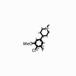 COc1cc(C2CCN(C)CC2)cc(F)c1Cl